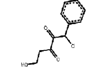 O=C(CCO)C(=O)C(Cl)c1ccccc1